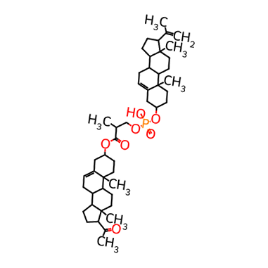 C=C(C)C1CCC2C3CC=C4CC(OP(=O)(O)OCC(C)C(=O)OC5CCC6(C)C(=CCC7C6CCC6(C)C(C(C)=O)CCC76)C5)CCC4(C)C3CCC12C